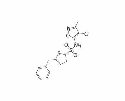 Cc1noc(NS(=O)(=O)c2ccc(Cc3ccccc3)s2)c1Cl